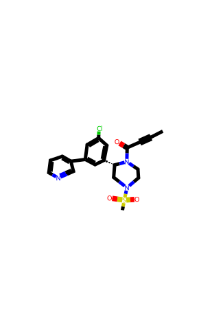 CC#CC(=O)N1CCN(S(C)(=O)=O)C[C@@H]1c1cc(Cl)cc(-c2cccnc2)c1